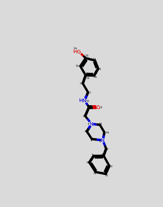 O=C(CN1CCN(Cc2ccccc2)CC1)NCCc1cccc(O)c1